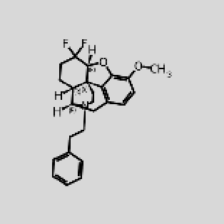 COc1ccc2c3c1O[C@H]1C(F)(F)CC[C@H]4[C@@H](C2)N(CCc2ccccc2)CC[C@@]341